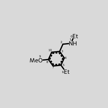 CCNCc1cc(CC)cc(OC)c1